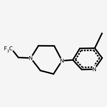 Cc1cncc(N2CCN(CC(F)(F)F)CC2)c1